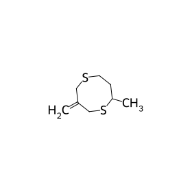 C=C1CSCCC(C)SC1